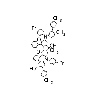 Cc1ccc(-c2cc(N(c3ccc(C(C)C)cc3)c3cc4c(c5c3oc3ccccc35)-c3c(cc(N(c5ccc(C(C)C)cc5)c5ccc(C)c(-c6ccc(C)cc6)c5)c5c3oc3ccccc35)C4(C)C)ccc2C)cc1